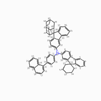 c1ccc2c(c1)-c1ccc(N(c3ccc(-c4cccc5ccccc45)cc3)c3ccc4c(c3)-c3ccccc3C43C4CCC5CC(C4)CC3C5)cc1C21CCCCC1